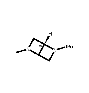 CN1C[C@H]2C1CN2C(C)(C)C